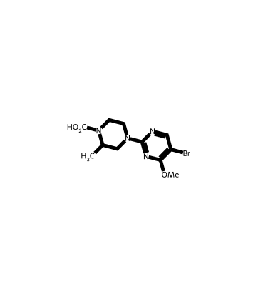 COc1nc(N2CCN(C(=O)O)C(C)C2)ncc1Br